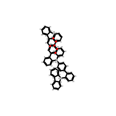 c1ccc(-c2ccc(-c3ccccc3N(c3ccc(-c4ccccc4-n4c5ccccc5c5ccccc54)cc3)c3cccc(-c4ccc5c(c4)oc4ccccc45)c3)cc2)cc1